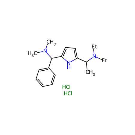 CCN(CC)C(C)c1ccc(C(c2ccccc2)N(C)C)[nH]1.Cl.Cl